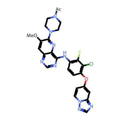 COc1cc2ncnc(Nc3ccc(Oc4ccn5ncnc5c4)c(Cl)c3F)c2nc1N1CCN(C(C)=O)CC1